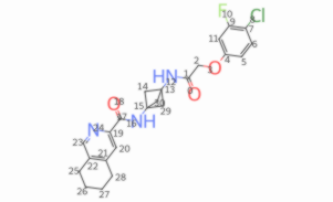 O=C(COc1ccc(Cl)c(F)c1)NC12CC(NC(=O)c3cc4c(cn3)CCCC4)(C1)C2